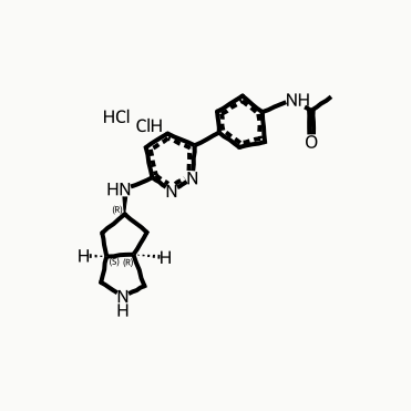 CC(=O)Nc1ccc(-c2ccc(N[C@H]3C[C@H]4CNC[C@H]4C3)nn2)cc1.Cl.Cl